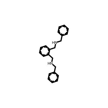 c1ccc(CNCc2ccccc2CNCc2ccccc2)cc1